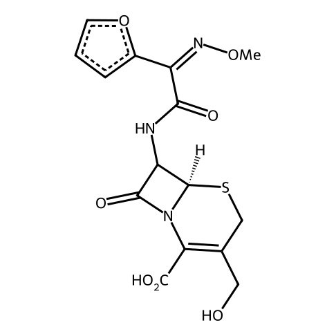 CO/N=C(\C(=O)NC1C(=O)N2C(C(=O)O)=C(CO)CS[C@H]12)c1ccco1